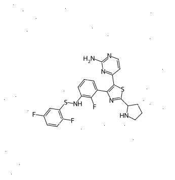 Nc1nccc(-c2sc(C3CCCN3)nc2-c2cccc(NSc3cc(F)ccc3F)c2F)n1